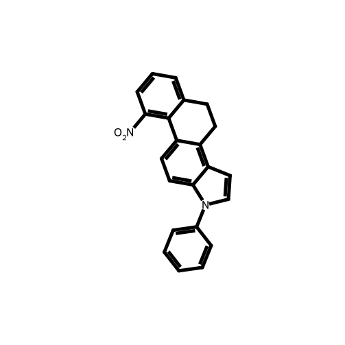 O=[N+]([O-])c1cccc2c1-c1ccc3c(ccn3-c3ccccc3)c1CC2